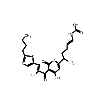 CCCCc1ncc(C=C(C)C(=O)c2c(O)cc(C(C)CC/C=C/NC(=O)O)oc2=O)s1